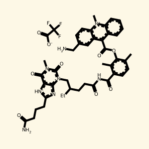 CCC(CCC(=O)NC(=O)c1ccc(C)c(OC(=O)c2c3ccccc3[n+](C)c3ccc(CN)cc23)c1C)Cn1c(=O)n(C)c(=O)c2[nH]c(CCCC(N)=O)nc21.O=C([O-])C(F)(F)F